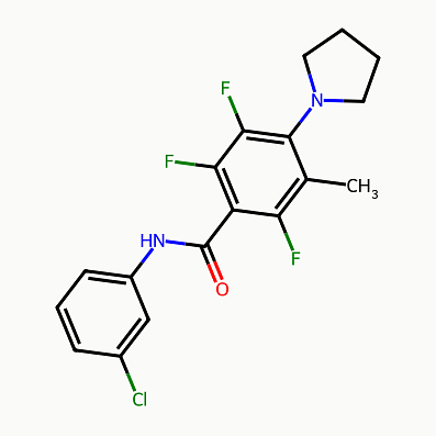 Cc1c(F)c(C(=O)Nc2cccc(Cl)c2)c(F)c(F)c1N1CCCC1